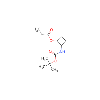 CCC(=O)OC1CCC1NC(=O)OC(C)(C)C